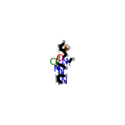 CCN(C(=O)Cc1cccs1)c1cn(-c2cccnc2)nc1Cl